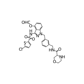 O=COc1cccc2c1c(NS(=O)(=O)c1ccc(Cl)s1)nn2Cc1cccc(CNC(=O)C2COCCN2)c1